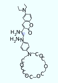 CCN(CC)c1ccc2oc(=O)c(/C(N)=C/N(N)c3ccc(N4CCOCCOCCOCCOCCOCC4)cc3)cc2c1